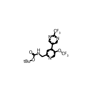 CC(C)(C)OC(=O)NCc1cc(-c2cnc(C(F)(F)F)nc2)c(OC(F)(F)F)cn1